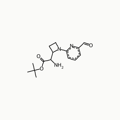 CC(C)(C)OC(=O)C(N)C1CCN1c1cccc(C=O)n1